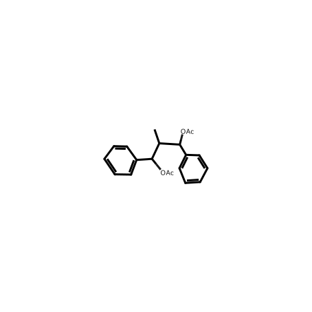 CC(=O)OC(c1ccccc1)C(C)C(OC(C)=O)c1ccccc1